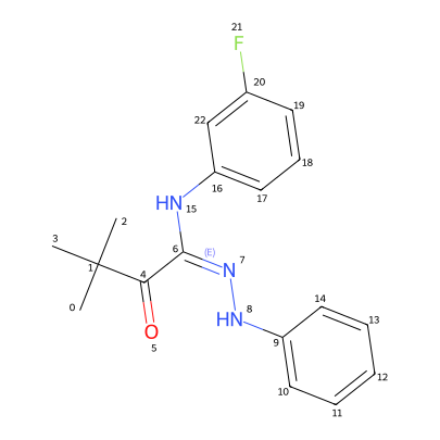 CC(C)(C)C(=O)/C(=N\Nc1ccccc1)Nc1cccc(F)c1